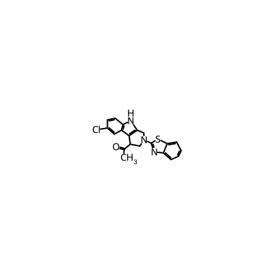 CC(=O)C1CN(c2nc3ccccc3s2)Cc2[nH]c3ccc(Cl)cc3c21